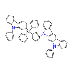 c1ccc(-n2c3ccccc3c3ccc([Si](c4ccccc4)(c4ccccc4)c4cccc(-n5c6ccccc6c6cc7c8ccccc8n(-c8ccccc8)c7cc65)c4)cc32)cc1